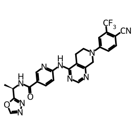 C[C@@H](NC(=O)c1ccc(Nc2ncnc3c2CCN(c2ccc(C#N)c(C(F)(F)F)c2)C3)nc1)c1nnco1